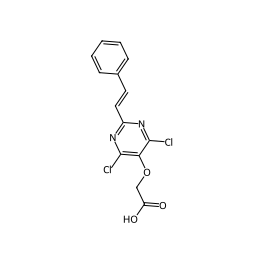 O=C(O)COc1c(Cl)nc(C=Cc2ccccc2)nc1Cl